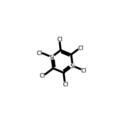 Clc1c(Cl)[si](Cl)c(Cl)c(Cl)[si]1Cl